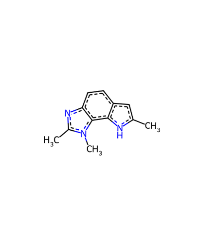 Cc1cc2ccc3nc(C)n(C)c3c2[nH]1